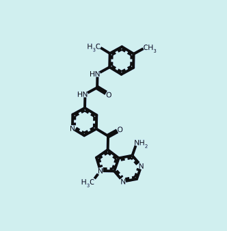 Cc1ccc(NC(=O)Nc2cncc(C(=O)c3cn(C)c4ncnc(N)c34)c2)c(C)c1